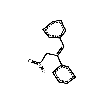 O=[SH](=O)CC(=Cc1ccccc1)c1ccccc1